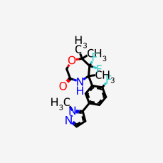 Cn1nccc1-c1ccc(F)c(C2(C)NC(=O)COC(C)(C)C2(F)F)c1